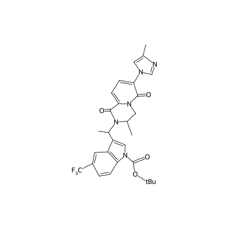 Cc1cn(-c2ccc3n(c2=O)CC(C)N(C(C)c2cn(C(=O)OC(C)(C)C)c4ccc(C(F)(F)F)cc24)C3=O)cn1